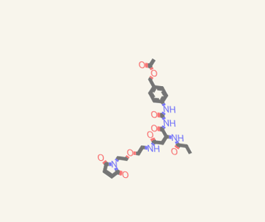 CCC(=O)NC(CC(=O)NCCOCCN1C(=O)C=CC1=O)C(=O)NC(=O)Nc1ccc(COC(C)=O)cc1